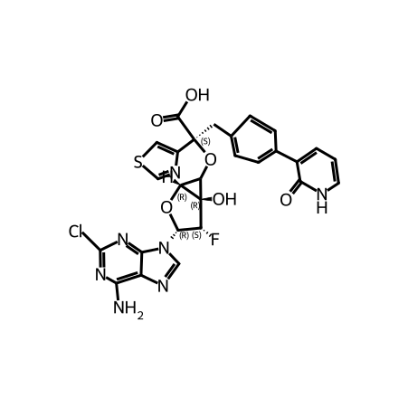 Nc1nc(Cl)nc2c1ncn2[C@@H]1O[C@@H]2C(O[C@](Cc3ccc(-c4ccc[nH]c4=O)cc3)(C(=O)O)c3cscn3)[C@]2(O)[C@@H]1F